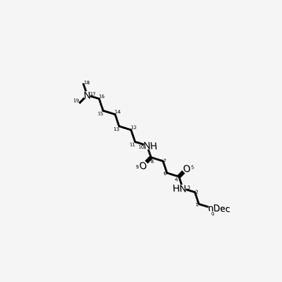 CCCCCCCCCCCCNC(=O)CCC(=O)NCCCCCCN(C)C